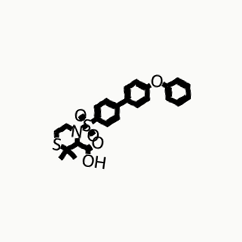 CC1(C)SCCN(S(=O)(=O)c2ccc(-c3ccc(Oc4ccccc4)cc3)cc2)C1C(=O)O